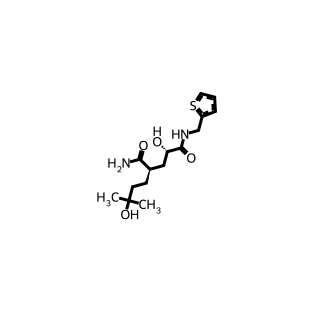 CC(C)(O)CC[C@H](C[C@H](O)C(=O)NCc1cccs1)C(N)=O